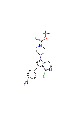 CC(C)(C)OC(=O)N1CCC(n2cc(-c3ccc(N)cc3)c3c(Cl)ncnc32)CC1